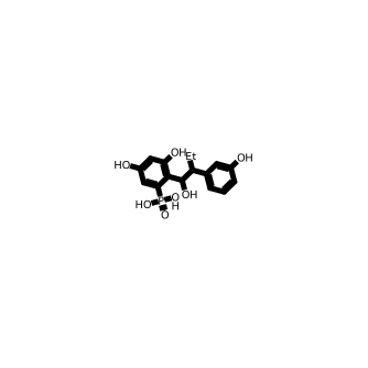 CCC(c1cccc(O)c1)C(O)c1c(O)cc(O)cc1P(=O)(O)O